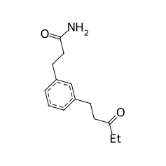 CCC(=O)CCc1cccc(CCC(N)=O)c1